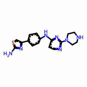 Nc1nc(-c2ccc(Nc3ccnc(N4CCNCC4)n3)cc2)cs1